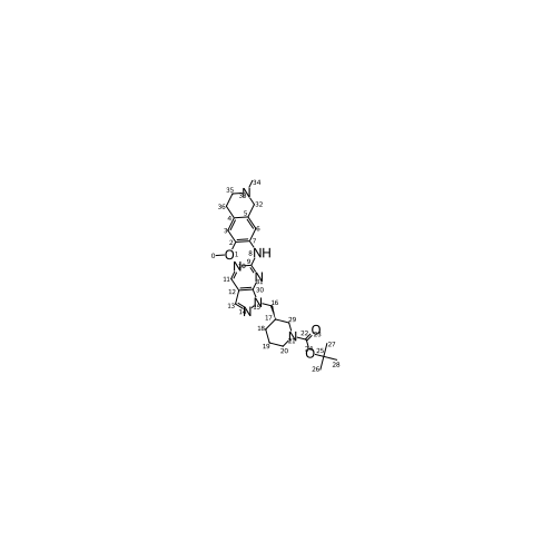 COc1cc2c(cc1Nc1ncc3cnn(C[C@@H]4CCCN(C(=O)OC(C)(C)C)C4)c3n1)CN(C)CC2